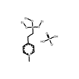 CCO[Si](CCc1cc[n+](C)cc1)(OCC)OCC.O=P([O-])(O)O